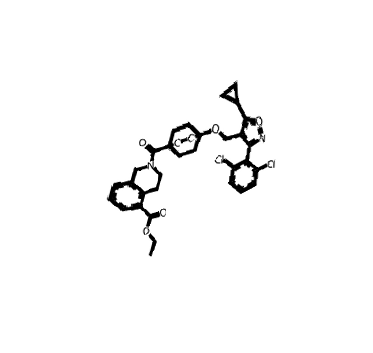 CCOC(=O)c1cccc2c1CCN(C(=O)C13CCC(OCc4c(-c5c(Cl)cccc5Cl)noc4C4CC4)(CC1)CC3)C2